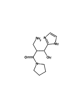 NCC(C(=O)N1CCCC1)C(O)c1ncc[nH]1